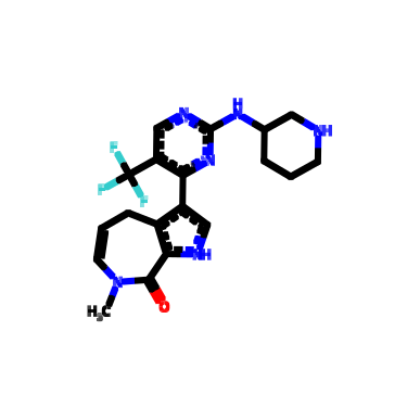 CN1C=CCc2c(-c3nc(NC4CCCNC4)ncc3C(F)(F)F)c[nH]c2C1=O